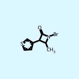 CC1C(c2ccsc2)C(=O)N1Br